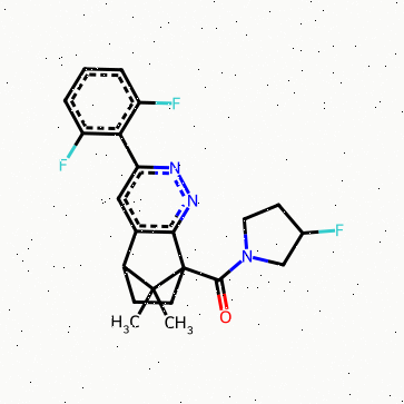 CC1(C)C2CCC1(C(=O)N1CCC(F)C1)c1nnc(-c3c(F)cccc3F)cc12